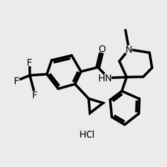 CN1CCCC(NC(=O)c2ccc(C(F)(F)F)cc2C2CC2)(c2ccccc2)C1.Cl